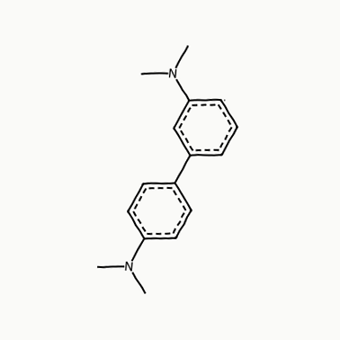 CN(C)c1[c]ccc(-c2ccc(N(C)C)cc2)c1